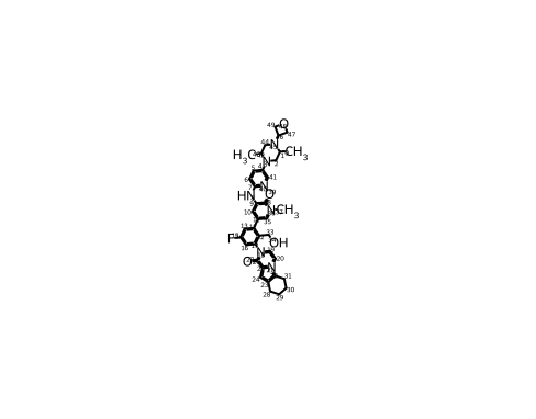 CC1CN(c2ccc(Nc3cc(-c4cc(F)cc(-n5ccn6c7c(cc6c5=O)CCCC7)c4CO)cn(C)c3=O)nc2)[C@@H](C)CN1C1COC1